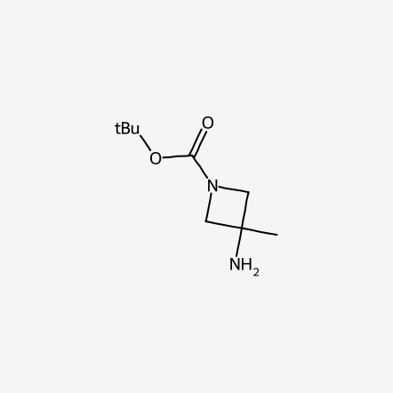 CC1(N)CN(C(=O)OC(C)(C)C)C1